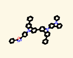 c1ccc(-c2ccc3c(c2)c2cc(-c4ccc5c(c4)c4cc(-c6ccccc6)ccc4n5-c4ccc5c(c4)c4ccccc4n5-c4ccccc4)ccc2n3-c2ccc(-c3nnc(-c4ccccc4)o3)cc2)cc1